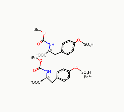 CC(C)(C)OC(=O)N[C@@H](Cc1ccc(OS(=O)(=O)O)cc1)C(=O)[O-].CC(C)(C)OC(=O)N[C@@H](Cc1ccc(OS(=O)(=O)O)cc1)C(=O)[O-].[Ba+2]